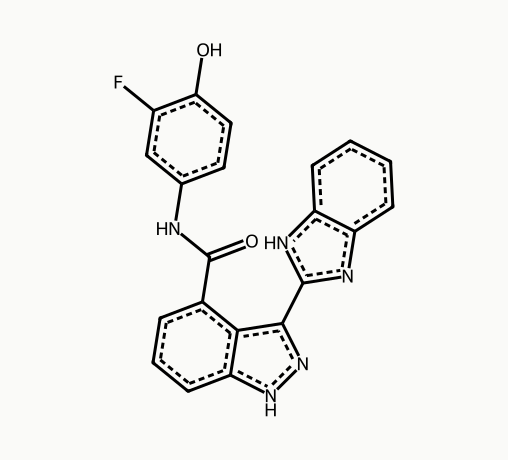 O=C(Nc1ccc(O)c(F)c1)c1cccc2[nH]nc(-c3nc4ccccc4[nH]3)c12